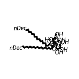 CCCCCCCCCCCCCCCCCCCCCCCCCCC(=O)O[C@H]1[C@@H](O[C@]2(CO)O[C@H](CO)[C@@H](O)[C@@H]2OC(=O)CCCCCCCCCCCCCCCCCCCCCCCCCC)O[C@H](CO)[C@@H](O)[C@@H]1O